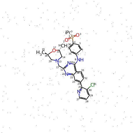 CC(C)S(=O)(=O)c1ccc(Nc2nc(CN3C[C@@H](C)O[C@H](C)C3)nc3cc(-c4ncccc4Cl)ccc23)cc1